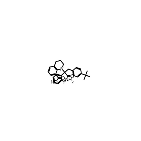 CC(C)(C)c1ccc(CC(C(N)=O)(c2ccccc2F)N2CCCc3cccc(C(=O)O)c32)cc1